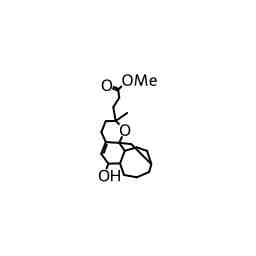 COC(=O)CCC1(C)CCC2=CC(O)C3CCCC4CCC3C2(C4)O1